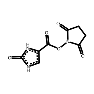 O=C(ON1C(=O)CCC1=O)c1c[nH]c(=O)[nH]1